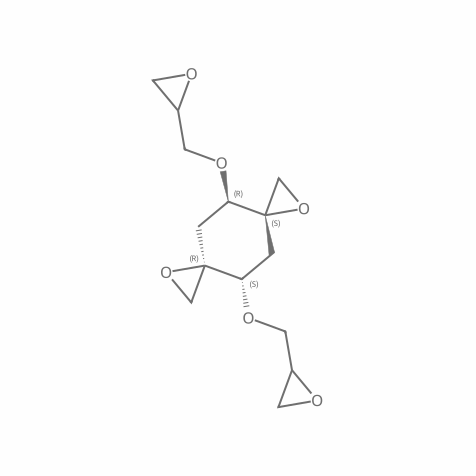 C1OC1CO[C@H]1C[C@]2(CO2)[C@H](OCC2CO2)C[C@@]12CO2